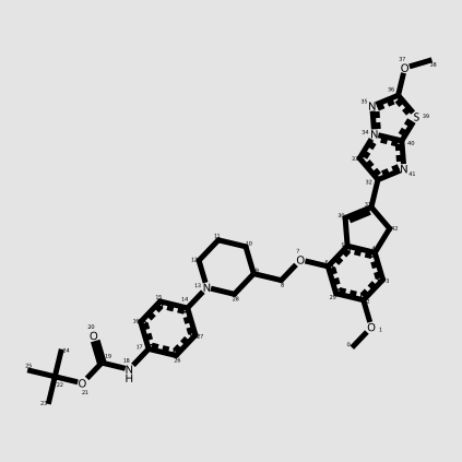 COc1cc2c(c(OCC3CCCN(c4ccc(NC(=O)OC(C)(C)C)cc4)C3)c1)C=C(c1cn3nc(OC)sc3n1)C2